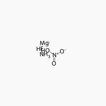 F.N.O=[N+]([O-])O.[Mg]